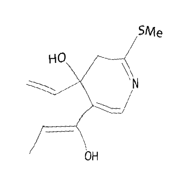 C=CC1(O)CC(SC)=NC=C1C(O)=CC